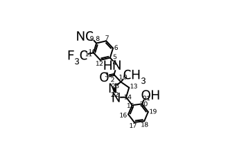 CC1(C(=O)Nc2ccc(C#N)c(C(F)(F)F)c2)CC(c2ccccc2O)N=N1